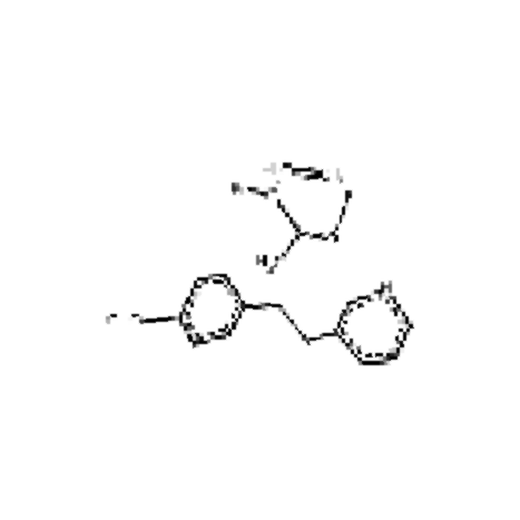 C=C.CCOC(C)OCC.O=Cc1ccc(CCc2cccnc2)cc1